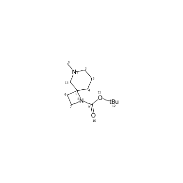 CN1CCCC2(CCN2C(=O)OC(C)(C)C)C1